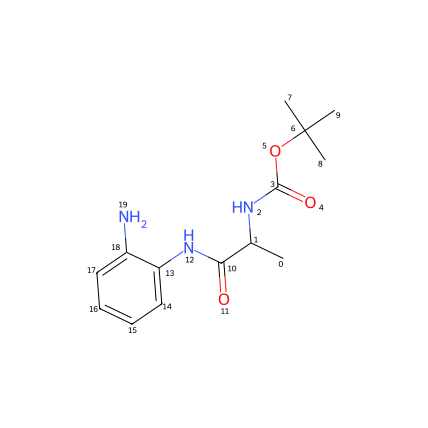 CC(NC(=O)OC(C)(C)C)C(=O)Nc1ccccc1N